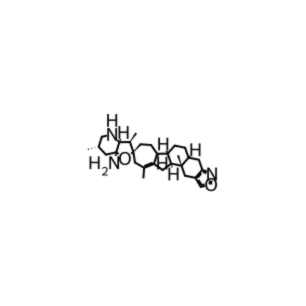 CC1=C2C[C@H]3[C@@H](CC[C@@H]4Cc5nocc5C[C@@]43C)[C@@H]2CC[C@@]2(C1)O[C@]1(N)C[C@H](C)CN[C@H]1[C@H]2C